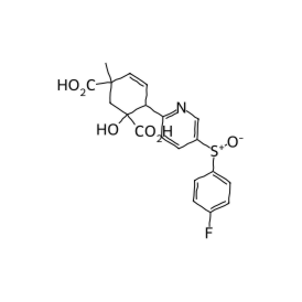 CC1(C(=O)O)C=CC(c2ccc([S+]([O-])c3ccc(F)cc3)cn2)C(O)(C(=O)O)C1